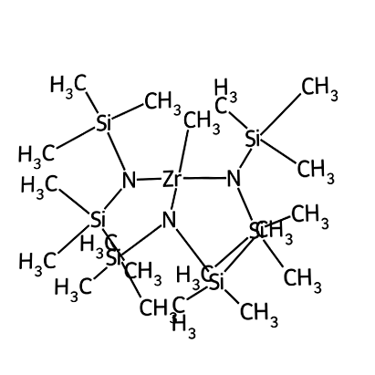 C[Si](C)(C)[N]([Si](C)(C)C)[Zr]([CH3])([N]([Si](C)(C)C)[Si](C)(C)C)[N]([Si](C)(C)C)[Si](C)(C)C